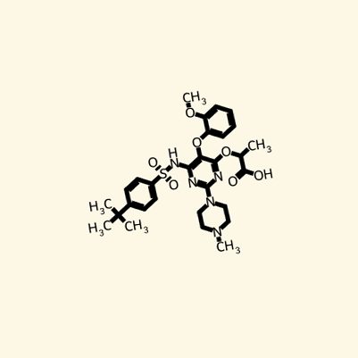 COc1ccccc1Oc1c(NS(=O)(=O)c2ccc(C(C)(C)C)cc2)nc(N2CCN(C)CC2)nc1OC(C)C(=O)O